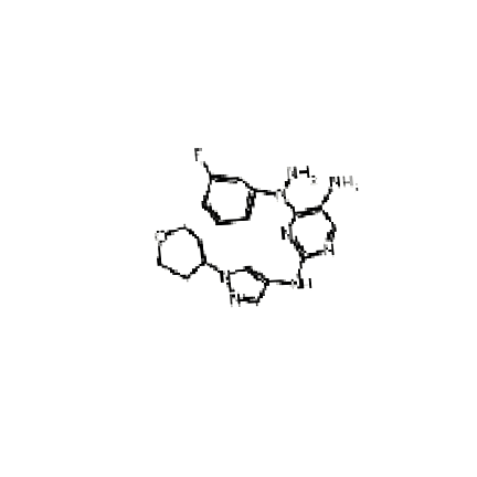 Nc1cnc(Nc2cnn(C3CCOCC3)c2)nc1N(N)c1cccc(F)c1